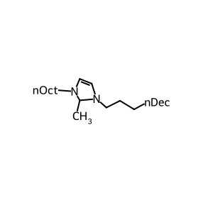 CCCCCCCCCCCCCN1C=CN(CCCCCCCC)C1C